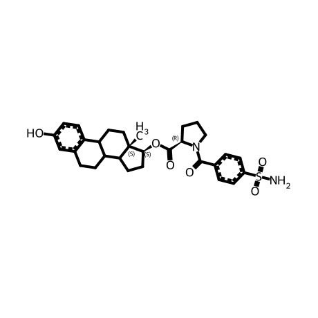 C[C@]12CCC3c4ccc(O)cc4CCC3C1CC[C@@H]2OC(=O)[C@H]1CCCN1C(=O)c1ccc(S(N)(=O)=O)cc1